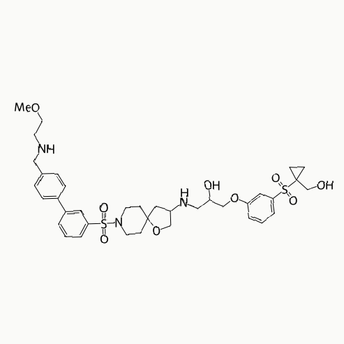 COCCNCc1ccc(-c2cccc(S(=O)(=O)N3CCC4(CC3)CC(NCC(O)COc3cccc(S(=O)(=O)C5(CO)CC5)c3)CO4)c2)cc1